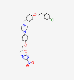 O=[N+]([O-])c1cn2c(n1)OC(COc1ccc(N3CCN(Cc4ccc(OCCc5ccc(Cl)cc5)cc4)CC3)cc1)CC2